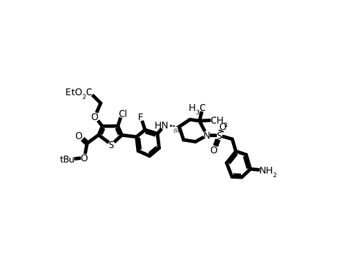 CCOC(=O)COc1c(C(=O)OC(C)(C)C)sc(-c2cccc(N[C@H]3CCN(S(=O)(=O)Cc4cccc(N)c4)C(C)(C)C3)c2F)c1Cl